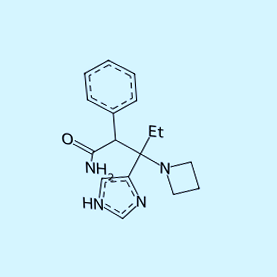 CCC(c1c[nH]cn1)(C(C(N)=O)c1ccccc1)N1CCC1